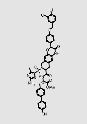 COC(=O)[C@H](Cc1ccc(-c2ccc(C#N)cc2)cc1)NC(=O)C1Cc2cc3c(cc2CN1S(=O)(=O)c1sc(N)nc1C)OC(c1ccc(OCc2ccc(Cl)c(Cl)c2)cc1)C(=O)N3